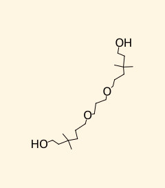 CC(C)(CCO)CCCOCCCOCCCC(C)(C)CCO